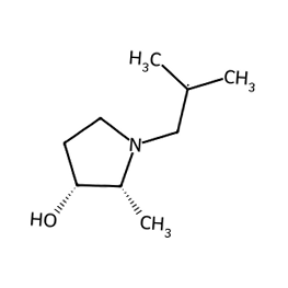 C[C](C)CN1CC[C@@H](O)[C@H]1C